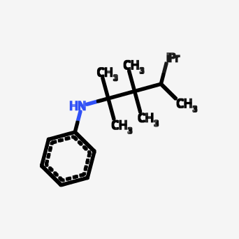 CC(C)C(C)C(C)(C)C(C)(C)Nc1ccccc1